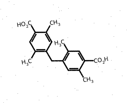 Cc1cc(C(=O)O)c(C)cc1Cc1cc(C)c(C(=O)O)cc1C